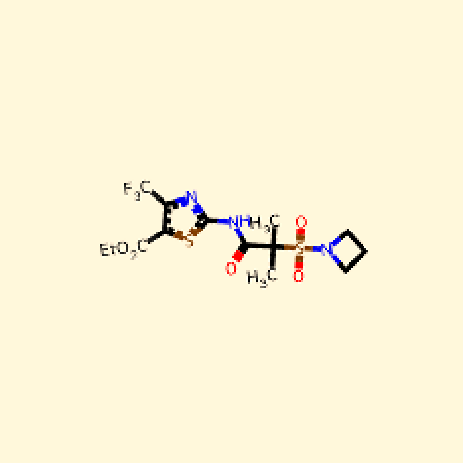 CCOC(=O)c1sc(NC(=O)C(C)(C)S(=O)(=O)N2CCC2)nc1C(F)(F)F